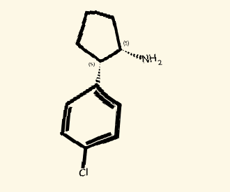 N[C@H]1CCC[C@H]1c1ccc(Cl)cc1